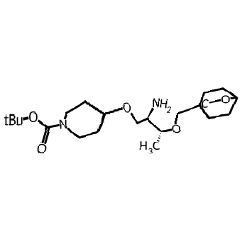 C[C@@H](OCC12CCC(CC1)OC2)[C@H](N)COC1CCN(C(=O)OC(C)(C)C)CC1